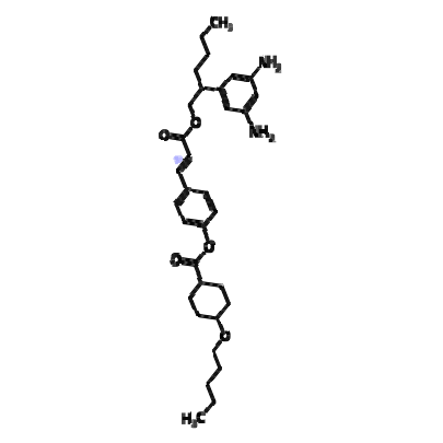 CCCCCOC1CCC(C(=O)Oc2ccc(/C=C/C(=O)OCC(CCCC)c3cc(N)cc(N)c3)cc2)CC1